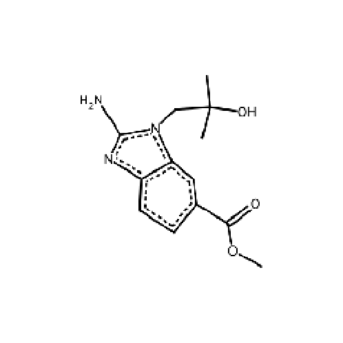 COC(=O)c1ccc2nc(N)n(CC(C)(C)O)c2c1